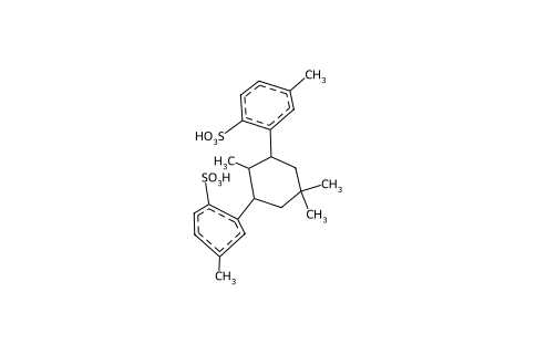 Cc1ccc(S(=O)(=O)O)c(C2CC(C)(C)CC(c3cc(C)ccc3S(=O)(=O)O)C2C)c1